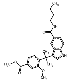 CCCCNC(=O)c1ccc2[nH]cc(C(C)(C)c3ccc(C(=O)OC)cc3OC)c2c1